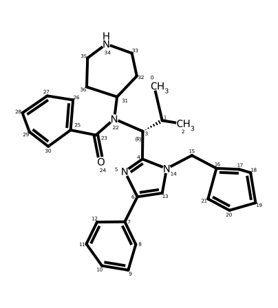 CC(C)[C@H](c1nc(-c2ccccc2)cn1Cc1ccccc1)N(C(=O)c1ccccc1)C1CCNCC1